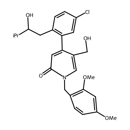 COc1ccc(Cn2cc(CO)c(-c3cc(Cl)ccc3CC(O)C(C)C)cc2=O)c(OC)c1